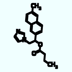 CCCC(=O)OC(Cn1ccnc1)c1ccc2cc(C)ccc2c1